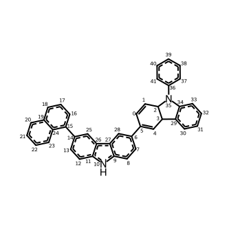 C1=CC2C(C=C1c1ccc3[nH]c4ccc(-c5cccc6ccccc56)cc4c3c1)c1ccccc1N2c1ccccc1